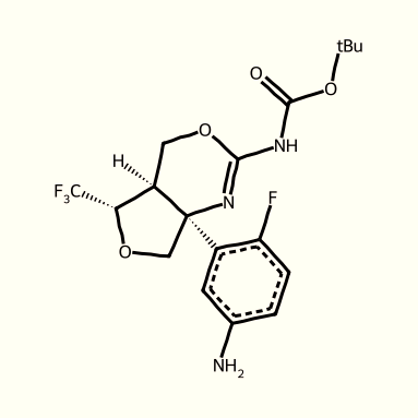 CC(C)(C)OC(=O)NC1=N[C@@]2(c3cc(N)ccc3F)CO[C@H](C(F)(F)F)[C@H]2CO1